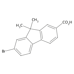 CC1(C)c2cc(Br)ccc2-c2ccc(C(=O)O)cc21